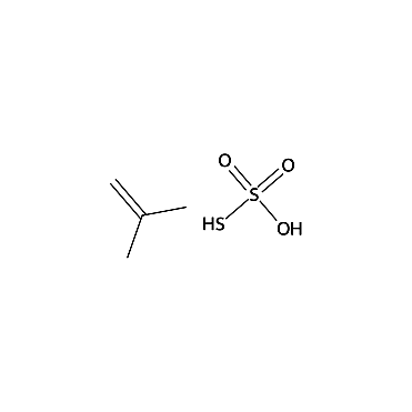 C=C(C)C.O=S(=O)(O)S